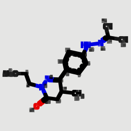 COCCN1N=C(c2ccc(NN=C(C#N)C#N)cc2)C(C)CC1=O